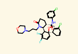 CC(C)OC1([C@@H]2C=C(Cl)C=CC2)C=CC(F)=C(F)C1[C@@H]1[C@@H](C(=O)Nc2cccc(Cl)c2)CCC(=O)N1CCCN1CCOCC1